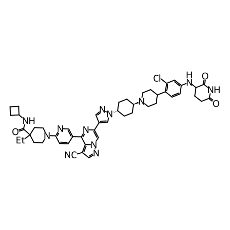 CCC1(C(=O)NC2CCC2)CCN(c2ccc(-c3nc(-c4cnn([C@H]5CC[C@H](N6CCC(c7ccc(NC8CCC(=O)NC8=O)cc7Cl)CC6)CC5)c4)cn4ncc(C#N)c34)cn2)CC1